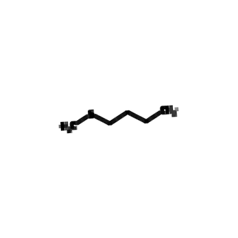 [CH2]CCCS[CH2]